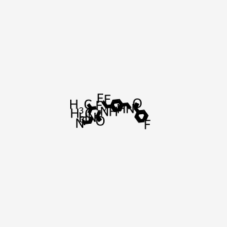 CC(C)C[C@H](N[C@@H](c1ccc(CNC(=O)c2ccc(F)cc2)cc1)C(F)(F)F)C(=O)NCC#N